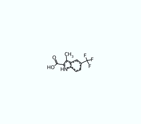 Cc1c(C(=O)O)[nH]c2ccc(C(F)(F)F)cc12